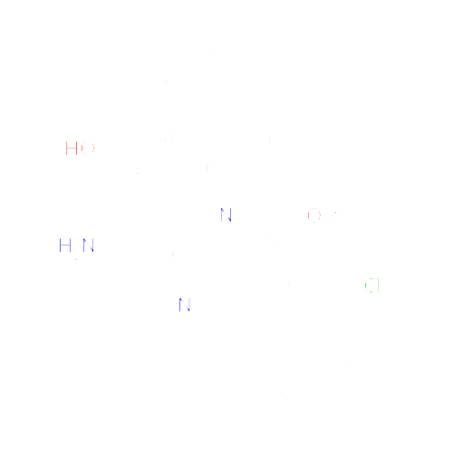 NC(CO)c1nc2cccc(Cl)c2c(=O)n1-c1ccccc1